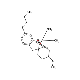 CCCSc1ccc2c(c1)C1(N=C(N)N(C)C1=O)C1(CCC(OC)CC1)C2